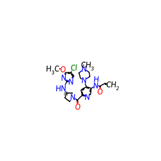 C=CC(=O)Nc1cnc(C(=O)N2CC[C@@H](Nc3ncc(Cl)c(OC)n3)C2)cc1N1CCN(C)CC1